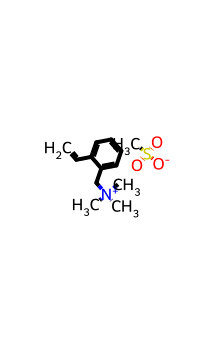 C=Cc1ccccc1C[N+](C)(C)C.CS(=O)(=O)[O-]